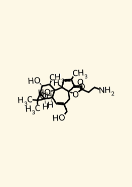 CC1=C[C@H]2[C@@]3(O)[C@H](C)[C@@H](O)[C@]4(O)[C@@H]([C@@H]3C=C(CO)C[C@@]2(OC(=O)CCN)C1=O)C4(C)C